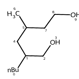 CCCCC(CO)CC(C)CCO